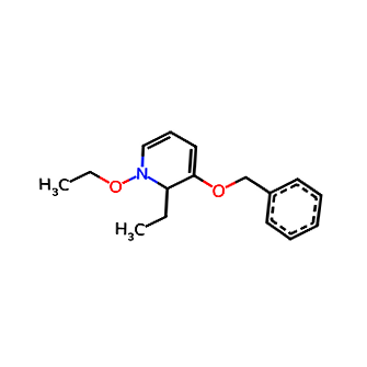 CCON1C=CC=C(OCc2ccccc2)C1CC